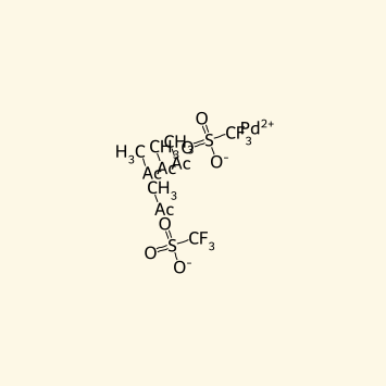 CC(C)=O.CC(C)=O.CC(C)=O.CC(C)=O.O=S(=O)([O-])C(F)(F)F.O=S(=O)([O-])C(F)(F)F.[Pd+2]